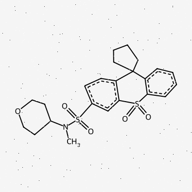 CN(C1CCOCC1)S(=O)(=O)c1ccc2c(c1)S(=O)(=O)c1ccccc1C21CCCC1